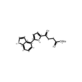 COC(=O)CCC(=O)c1ccc(-c2cccc3sccc23)s1